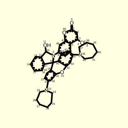 O=c1cc(C(F)(F)F)c2ccc(N3C(O)c4ccccc4C34c3ccc(N5CCCCCC5)cc3Oc3cc(N5CCCCCC5)ccc34)cc2o1